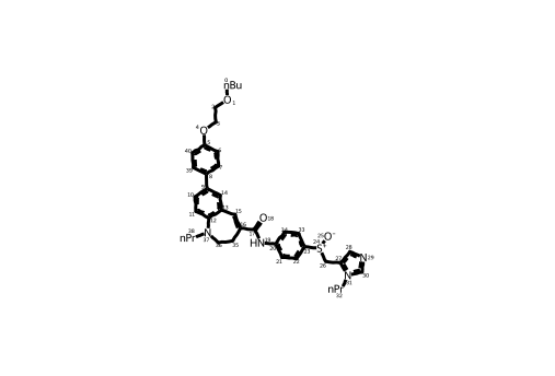 CCCCOCCOc1ccc(-c2ccc3c(c2)C=C(C(=O)Nc2ccc([S+]([O-])Cc4cncn4CCC)cc2)CCN3CCC)cc1